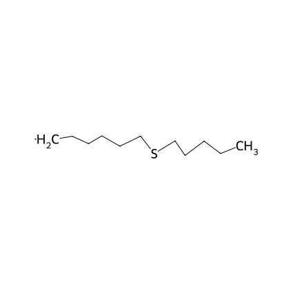 [CH2]CCCCCSCCCCC